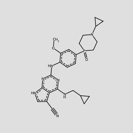 COc1cc(P2(=O)CCN(C3CC3)CC2)ccc1Nc1nc(NCC2CC2)c2c(C#N)c[nH]c2n1